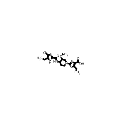 CCc1[nH]c(C(=O)NC2CCN(c3nc(C(=O)O)c(CC)s3)CC2OC)nc1Cl